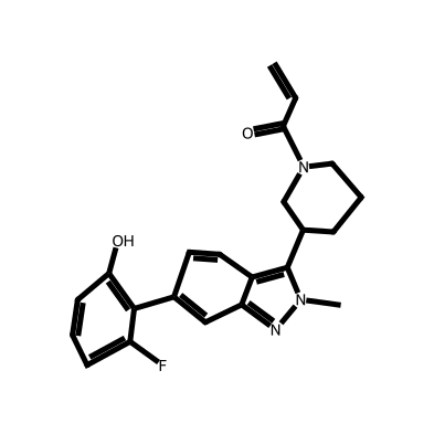 C=CC(=O)N1CCCC(c2c3ccc(-c4c(O)cccc4F)cc3nn2C)C1